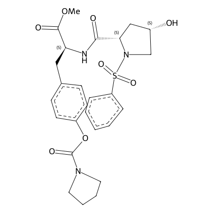 COC(=O)[C@H](Cc1ccc(OC(=O)N2CCCC2)cc1)NC(=O)[C@@H]1C[C@H](O)CN1S(=O)(=O)c1ccccc1